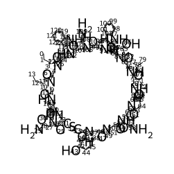 CCCC[C@H]1C(=O)N(C)[C@@H](CCCC)C(=O)NC2(CC2)C(=O)N[C@H](C(=O)NCC(N)=O)CSCC(=O)N[C@@H](Cc2ccc(O)cc2)C(=O)N(C)[C@@H](C)C(=O)N[C@@H](CC(N)=O)C(=O)N2CCC[C@H]2C(=O)N[C@@H](CC)C(=O)N[C@@H](CC(C)C)C(=O)N2C[C@H](O)C[C@H]2C(=O)NC(Cc2c[nH]c3ccccc23)C(=O)N[C@@H](CCN)C(=O)N[C@@H](Cc2c[nH]c3ccccc23)C(=O)N1C